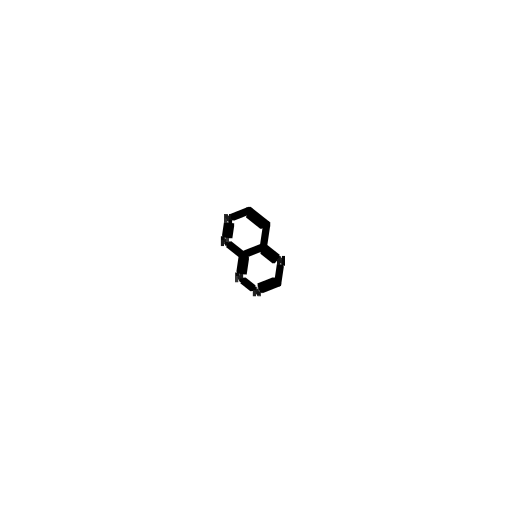 c1cc2ncnnc2nn1